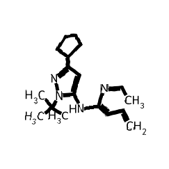 C=C/C=C(\N=C/C)Nc1cc(C2CCCC2)nn1C(C)(C)C